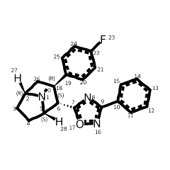 CN1[C@@H]2CC[C@H]1[C@@H](c1nc(-c3ccccc3)no1)[C@H](c1ccc(F)cc1)C2